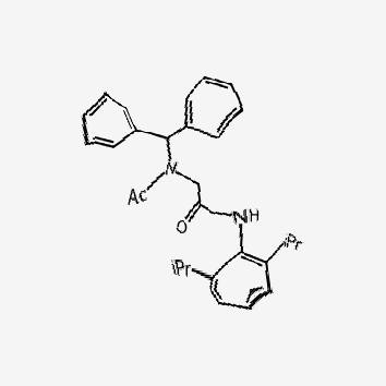 CC(=O)N(CC(=O)Nc1c(C(C)C)cccc1C(C)C)C(c1ccccc1)c1ccccc1